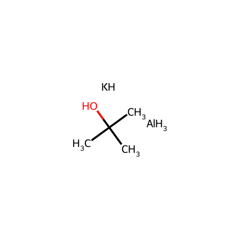 CC(C)(C)O.[AlH3].[KH]